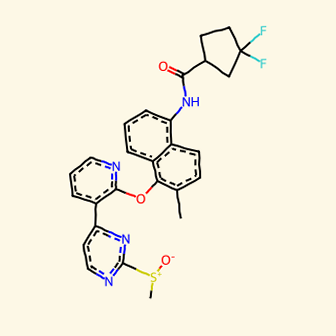 Cc1ccc2c(NC(=O)C3CCC(F)(F)C3)cccc2c1Oc1ncccc1-c1ccnc([S+](C)[O-])n1